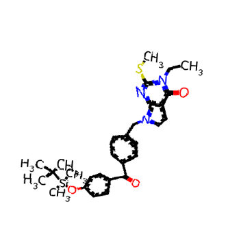 CCn1c(SC)nc2c(ccn2Cc2ccc(C(=O)c3ccc(O[Si](C)(C)C(C)(C)C)cc3)cc2)c1=O